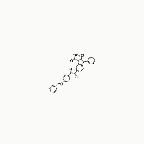 NC(=O)c1c(Cl)c(-c2ccccc2)n2c1CN(C(=O)Nc1ccc(OCc3ccccc3)cc1)CC2